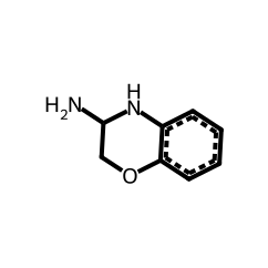 NC1COc2ccccc2N1